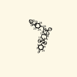 Cc1ccc(S(=O)(=O)N2CCC3(CC2)CN(Cc2ccc(SC(F)(F)F)cc2)C(=O)O3)cc1